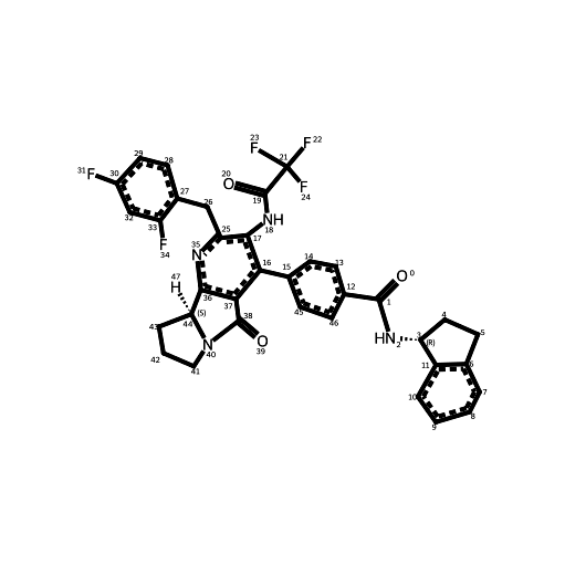 O=C(N[C@@H]1CCc2ccccc21)c1ccc(-c2c(NC(=O)C(F)(F)F)c(Cc3ccc(F)cc3F)nc3c2C(=O)N2CCC[C@@H]32)cc1